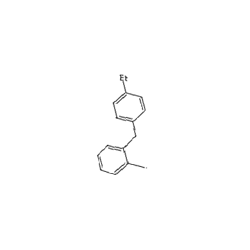 [CH2]c1ccccc1Cc1ccc(CC)cc1